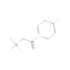 CC(C)(N)CC(=O)N1CCC(N)CC1